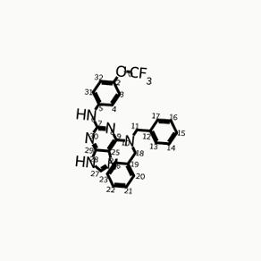 FC(F)(F)Oc1ccc(Nc2nc(N(Cc3ccccc3)Cc3ccccc3)c3nc[nH]c3n2)cc1